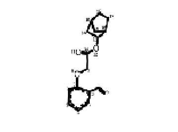 C=Cc1ccccc1OCC(=O)OC1CC2CCC1C2